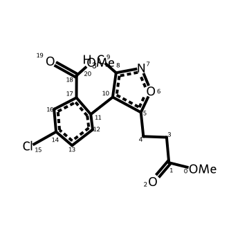 COC(=O)CCc1onc(C)c1-c1ccc(Cl)cc1C(=O)OC